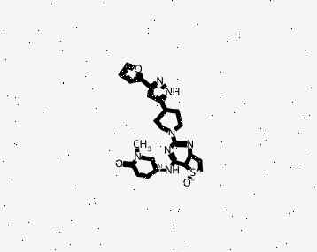 CN1C[C@@H](NC2=NC(N3CCC(c4cc(-c5ccco5)n[nH]4)CC3)=NC3CC[S+]([O-])C23)CCC1=O